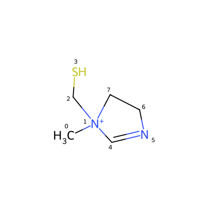 C[N+]1(CS)C=NCC1